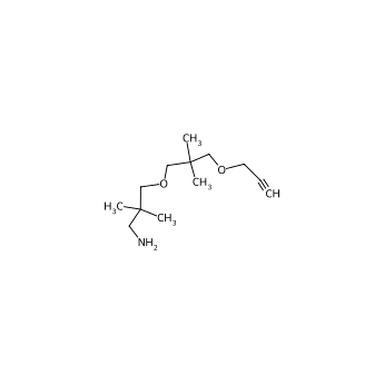 C#CCOCC(C)(C)COCC(C)(C)CN